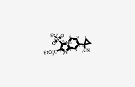 CCOC(=O)c1nc2cc(C3(C#N)CC3)ccn2c1S(=O)(=O)CC